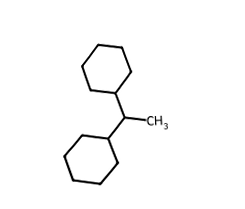 CC(C1CCCCC1)C1CCCCC1